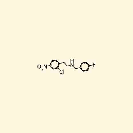 O=[N+]([O-])c1ccc(CCNCc2ccc(F)cc2)c(Cl)c1